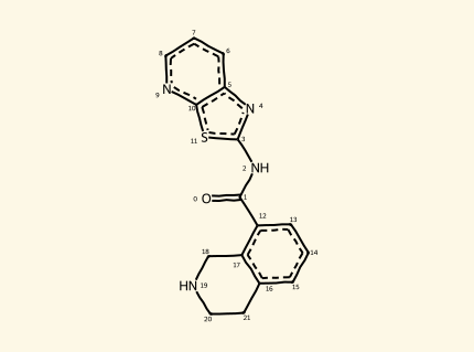 O=C(Nc1nc2cccnc2s1)c1cccc2c1CNCC2